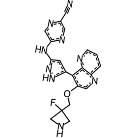 N#Cc1cnc(Nc2cc(-c3c(OCC4(F)CNC4)cnc4cccnc34)[nH]n2)cn1